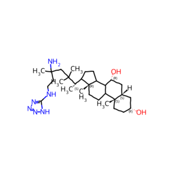 C[C@@H](C1CCC2C3C(CC[C@@]21C)[C@@]1(C)CC[C@@H](O)C[C@H]1C[C@H]3O)C(C)(C)CC(C)(N)CCNc1nnn[nH]1